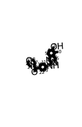 Cc1c(O)ccc2nc(Nc3ccc(C(=O)N4CCOCC4)cc3)ncc12